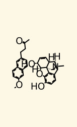 CN1CC[C@]23c4c5ccc(O)c4O[C@H]2[C@@H](O)C=C[C@H]3[C@H]1C5.COc1ccc2cc(CCC(C)=O)ccc2c1